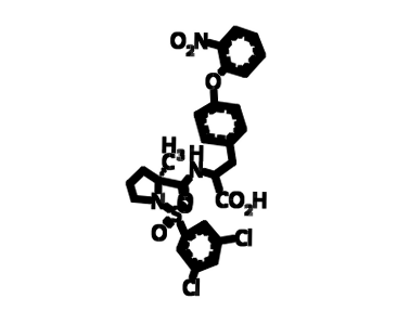 C[C@@]1(C(=O)NC(Cc2ccc(Oc3ccccc3[N+](=O)[O-])cc2)C(=O)O)CCCN1S(=O)(=O)c1cc(Cl)cc(Cl)c1